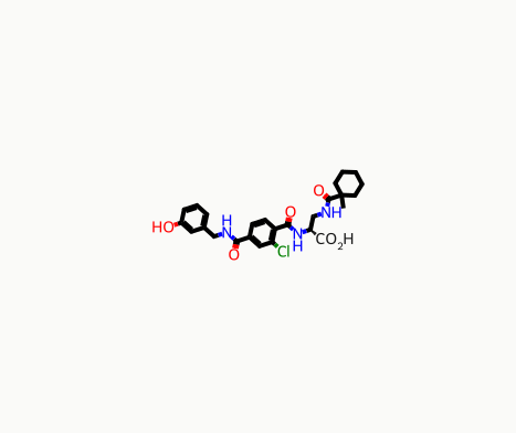 CC1(C(=O)NC[C@H](NC(=O)c2ccc(C(=O)NCc3cccc(O)c3)cc2Cl)C(=O)O)CCCCC1